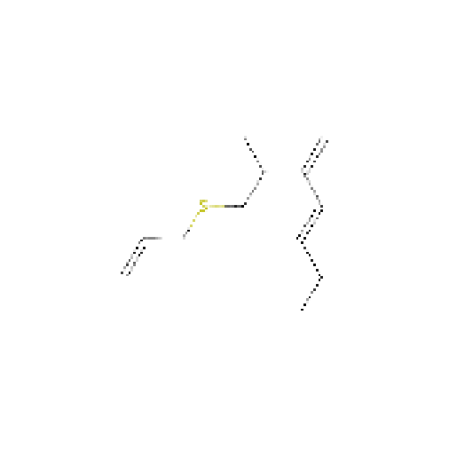 C=CCSCC(C)C(=C)/C=C/CC